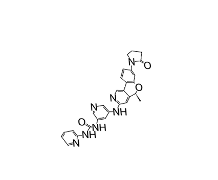 C[C@@H]1Oc2cc(N3CCCC3=O)ccc2-c2cnc(Nc3cncc(NC(=O)Nc4ccccn4)c3)cc21